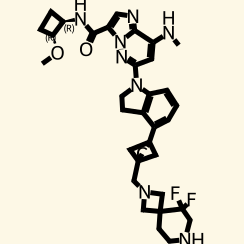 CNc1cc(N2CCc3c2cccc3C23CC(CN4CC5(CCNCC5(F)F)C4)(C2)C3)nn2c(C(=O)N[C@@H]3CC[C@H]3OC)cnc12